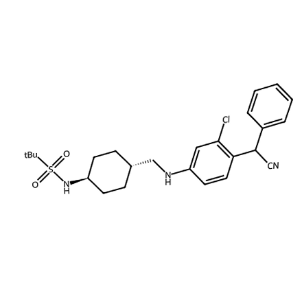 CC(C)(C)S(=O)(=O)N[C@H]1CC[C@H](CNc2ccc(C(C#N)c3ccccc3)c(Cl)c2)CC1